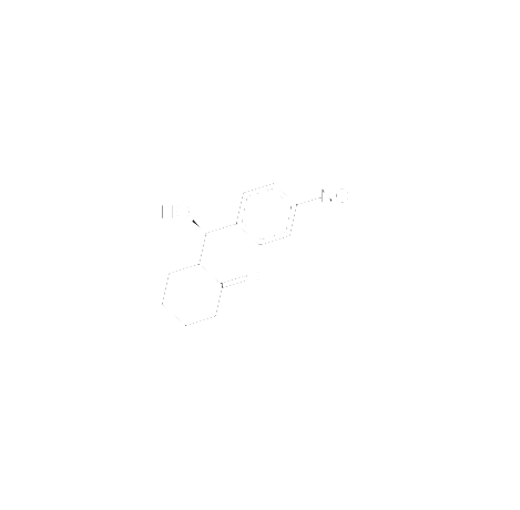 O=C1CCCCC1[C@@H](O)c1ccc([N+](=O)[O-])cc1